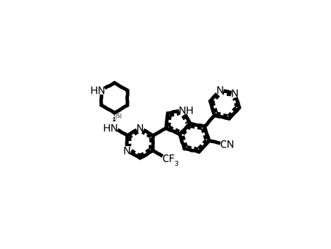 N#Cc1ccc2c(-c3nc(N[C@H]4CCCNC4)ncc3C(F)(F)F)c[nH]c2c1-c1ccnnc1